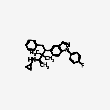 C=C(NC1CC1)C(C)(C)C(Cc1ccccc1)c1ccc2c(cnn2-c2ccc(F)cc2)c1